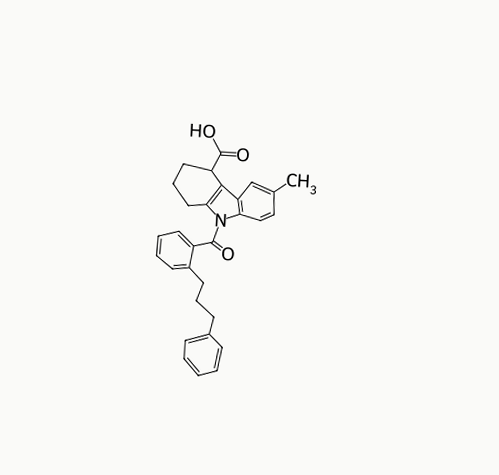 Cc1ccc2c(c1)c1c(n2C(=O)c2ccccc2CCCc2ccccc2)CCCC1C(=O)O